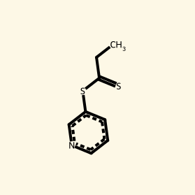 CCC(=S)Sc1cccnc1